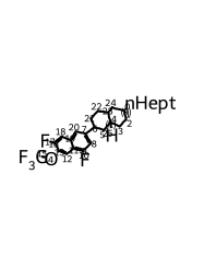 CCCCCCC[C@@H]1CC[C@@H]2CC(c3cc(F)c4cc(OC(F)(F)F)c(F)cc4c3)CCC2C1